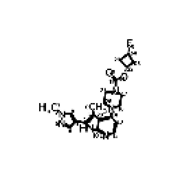 Cc1c(-c2cnn(C)c2)[nH]c2nccc(N3CCN(C(=O)O[C@H]4C[C@H](F)C4)CC3)c12